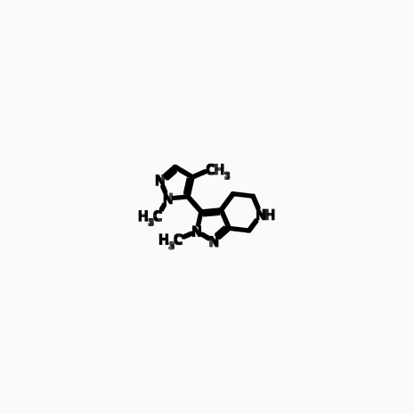 Cc1cnn(C)c1-c1c2c(nn1C)CNCC2